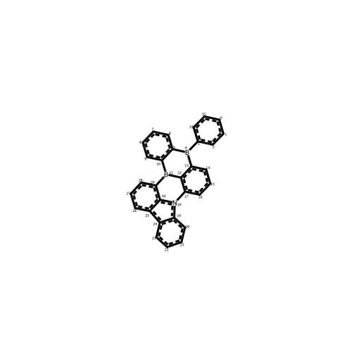 c1ccc(B2c3ccccc3B3c4c2cccc4-n2c4ccccc4c4cccc3c42)cc1